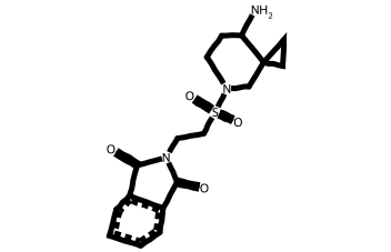 NC1CCN(S(=O)(=O)CCN2C(=O)c3ccccc3C2=O)CC12CC2